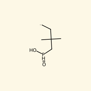 [CH2]CC(C)(C)C[PH](=O)O